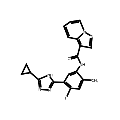 Cc1cc(F)c(-c2nnc(C3CC3)[nH]2)cc1NC(=O)c1cnn2ccccc12